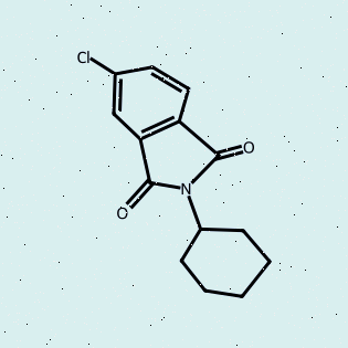 O=C1c2ccc(Cl)cc2C(=O)N1C1CCCCC1